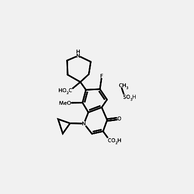 COc1c(C2(C(=O)O)CCNCC2)c(F)cc2c(=O)c(C(=O)O)cn(C3CC3)c12.CS(=O)(=O)O